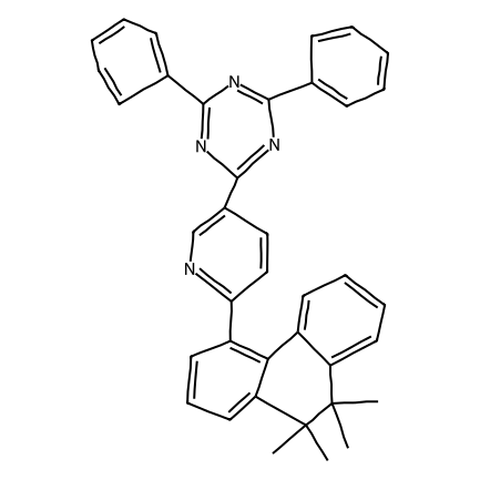 CC1(C)c2ccccc2-c2c(-c3ccc(-c4nc(-c5ccccc5)nc(-c5ccccc5)n4)cn3)cccc2C1(C)C